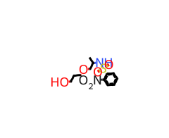 CC(COCCCO)NS(=O)(=O)c1ccccc1[N+](=O)[O-]